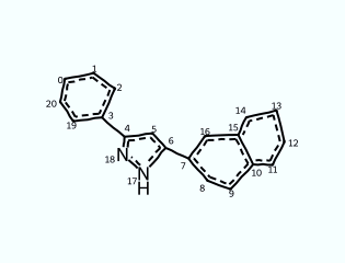 c1ccc(-c2cc(-c3ccc4ccccc4c3)[nH]n2)cc1